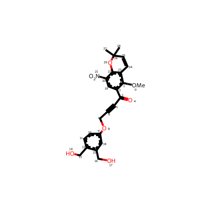 COc1c(C(=O)C#CCOc2ccc(CO)c(CO)c2)cc([N+](=O)[O-])c2c1C=CC(C)(C)O2